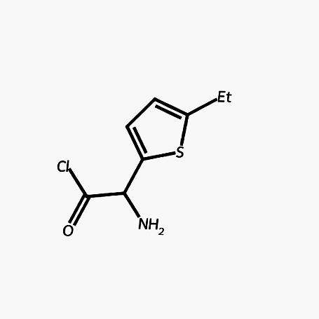 CCc1ccc(C(N)C(=O)Cl)s1